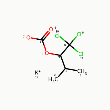 CC(C)C(OC(=O)[O-])C(Cl)(Cl)Cl.[K+]